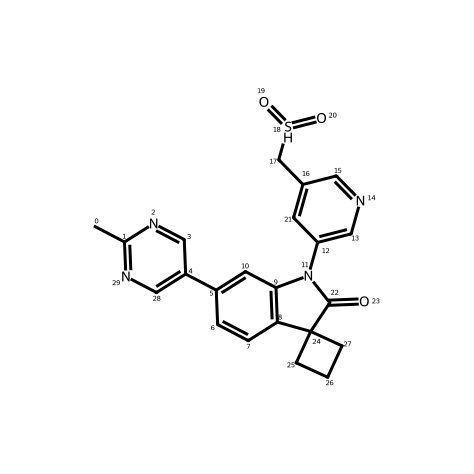 Cc1ncc(-c2ccc3c(c2)N(c2cncc(C[SH](=O)=O)c2)C(=O)C32CCC2)cn1